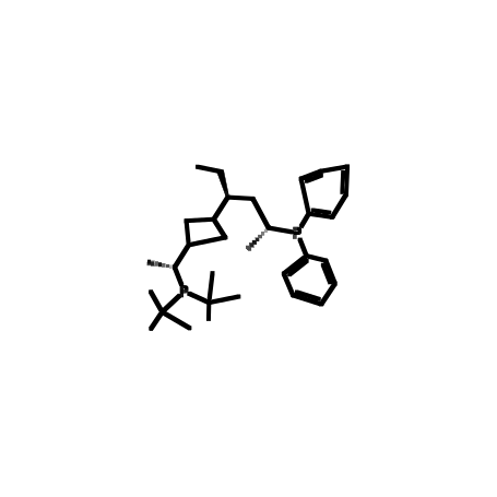 CC[C@@H](C[C@@H](C)P(c1ccccc1)c1ccccc1)C1CC([C@@H](C)P(C(C)(C)C)C(C)(C)C)C1